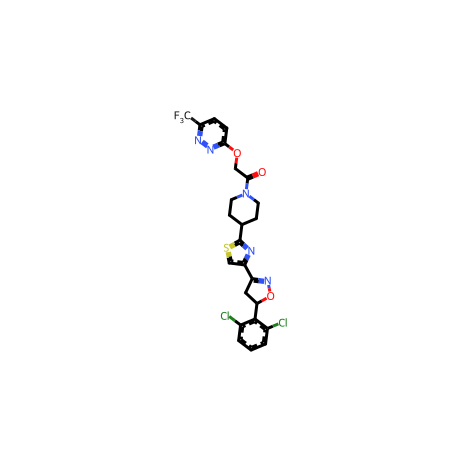 O=C(COc1ccc(C(F)(F)F)nn1)N1CCC(c2nc(C3=NOC(c4c(Cl)cccc4Cl)C3)cs2)CC1